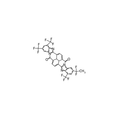 CC(F)(F)c1cc(C(F)(F)F)c2nc3n(c2c1)C(=O)C1=CC=C2c4nc5c(C(F)(F)F)cc(C(F)(F)F)cc5n4C(=O)C4=CC=C3C1C42